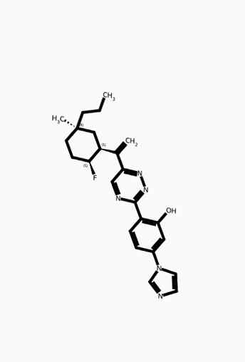 C=C(c1cnc(-c2ccc(-n3ccnc3)cc2O)nn1)[C@@H]1C[C@](C)(CCC)CC[C@@H]1F